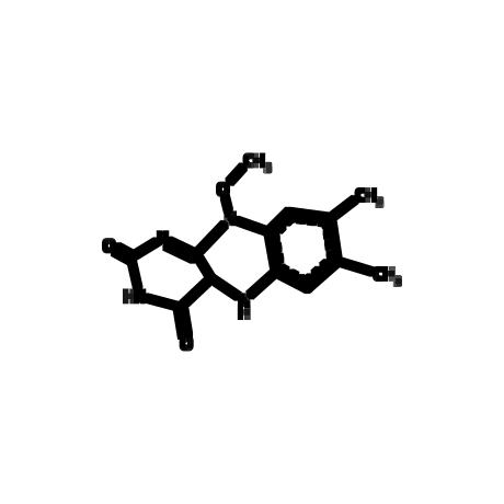 CON1C2=NC(=O)NC(=O)C2Nc2cc(C)c(C)cc21